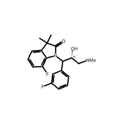 CNC[C@@H](O)C(c1cccc(F)c1)N1C(=O)C(C)(C)c2cccc(F)c21